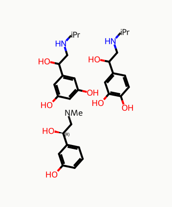 CC(C)NCC(O)c1cc(O)cc(O)c1.CC(C)NCC(O)c1ccc(O)c(O)c1.CNC[C@H](O)c1cccc(O)c1